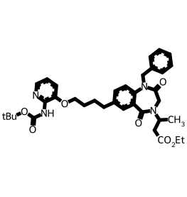 CCOC(=O)CC(C)N1CC(=O)N(Cc2ccccc2)c2ccc(CCCCOc3cccnc3NC(=O)OC(C)(C)C)cc2C1=O